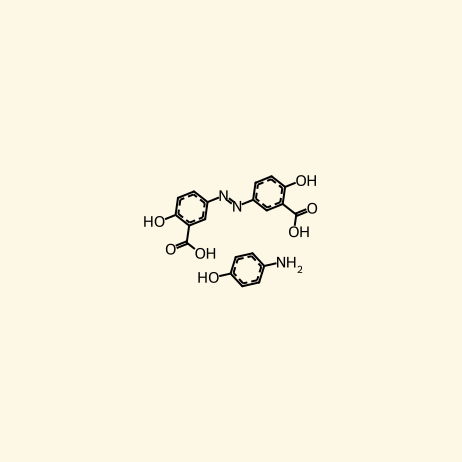 Nc1ccc(O)cc1.O=C(O)c1cc(N=Nc2ccc(O)c(C(=O)O)c2)ccc1O